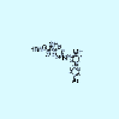 CC(=O)c1ccc(-c2ccc(O)c(CN[C@H]3CC[C@H](N(C)C(=O)OC(C)(C)C)CC3)c2)cc1